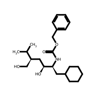 CC(C)[C@H](CO)C[C@H](O)[C@H](CC1CCCCC1)NC(=O)OCc1ccccc1